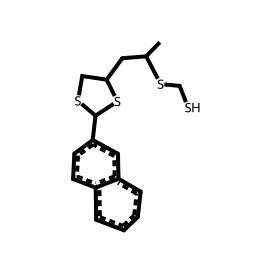 CC(CC1CSC(c2ccc3ccccc3c2)S1)SCS